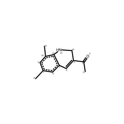 CC(=O)C1=Cc2cc(C)cc(C)c2NC1